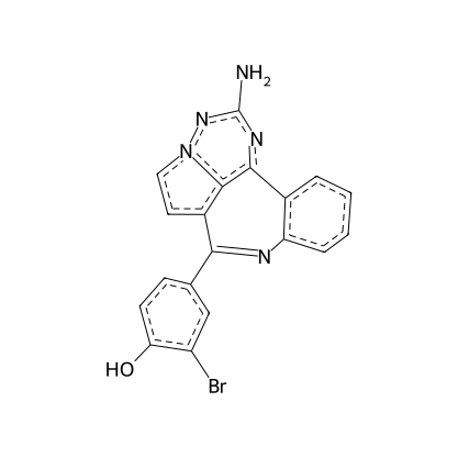 Nc1nc2c3c(ccn3n1)C(c1ccc(O)c(Br)c1)=Nc1ccccc1-2